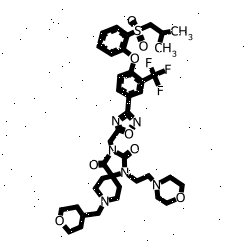 CC(C)CS(=O)(=O)c1ccccc1Oc1ccc(-c2noc(CN3C(=O)N(CCN4CCOCC4)C4(CCN(CC5CCOCC5)CC4)C3=O)n2)cc1C(F)(F)F